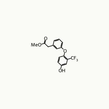 COC(=O)Cc1cccc(Oc2ccc(O)cc2C(F)(F)F)c1